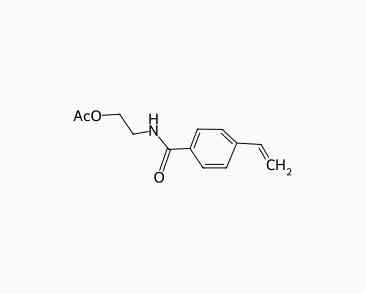 C=Cc1ccc(C(=O)NCCOC(C)=O)cc1